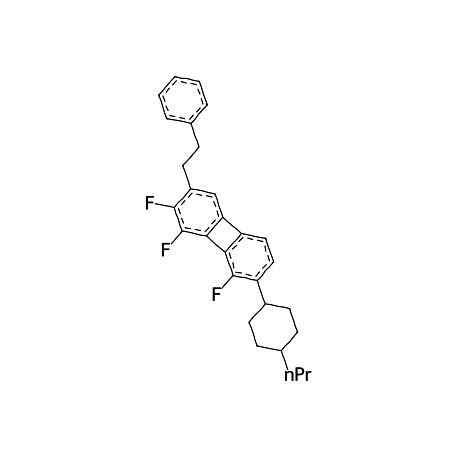 CCCC1CCC(c2ccc3c(c2F)-c2c-3cc(CCc3ccccc3)c(F)c2F)CC1